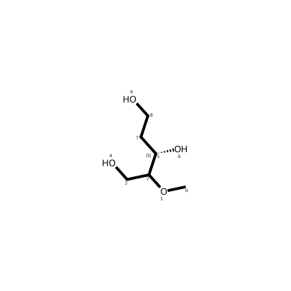 COC(CO)[C@@H](O)CCO